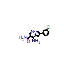 NC(=O)c1cnn2cc(-c3cccc(Cl)c3)cc2c1N